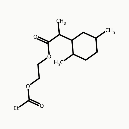 CCC(=O)OCCOC(=O)C(C)C1CC(C)CCC1C